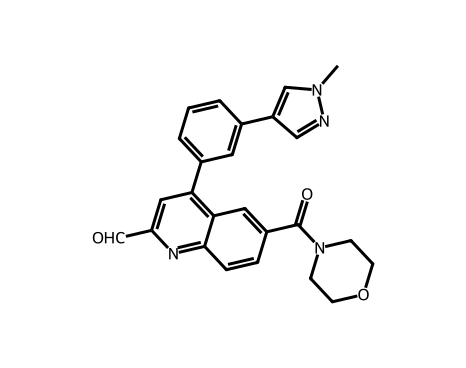 Cn1cc(-c2cccc(-c3cc(C=O)nc4ccc(C(=O)N5CCOCC5)cc34)c2)cn1